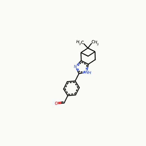 CC1(C)C2Cc3[nH]c(-c4ccc(C=O)cc4)nc3C1C2